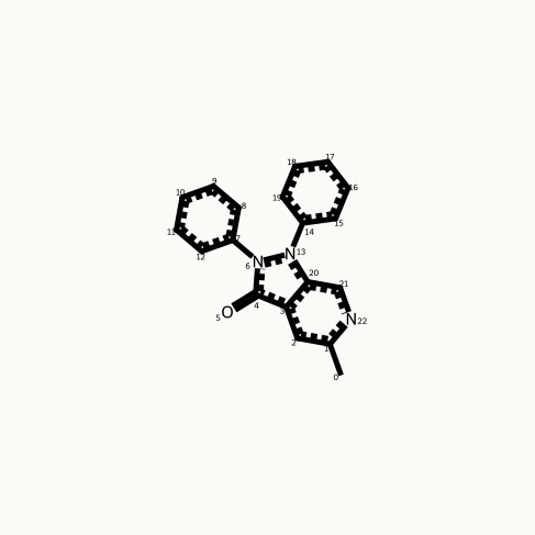 Cc1cc2c(=O)n(-c3ccccc3)n(-c3ccccc3)c2cn1